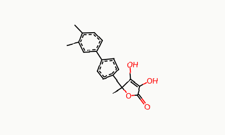 Cc1ccc(-c2ccc(C3(C)OC(=O)C(O)=C3O)cc2)cc1C